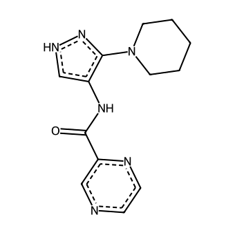 O=C(Nc1c[nH]nc1N1CCCCC1)c1cnccn1